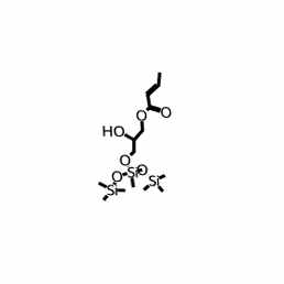 CC=CC(=O)OCC(O)CO[Si](C)(O[Si](C)(C)C)O[Si](C)(C)C